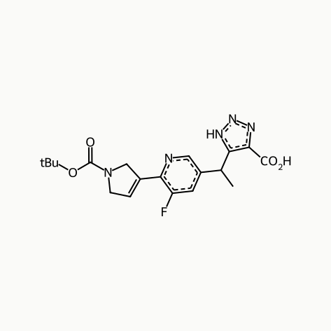 CC(c1cnc(C2=CCN(C(=O)OC(C)(C)C)C2)c(F)c1)c1[nH]nnc1C(=O)O